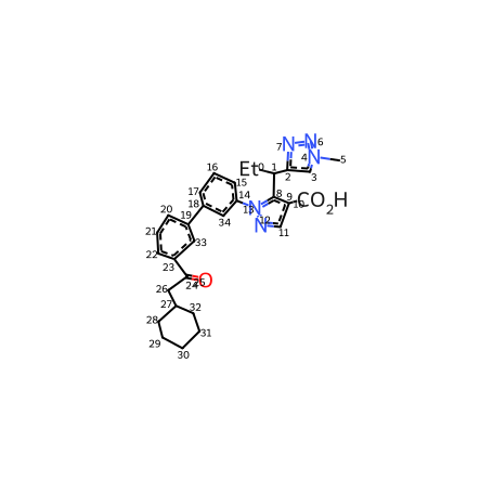 CCC(c1cn(C)nn1)c1c(C(=O)O)cnn1-c1cccc(-c2cccc(C(=O)CC3CCCCC3)c2)c1